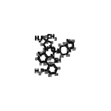 CC1(P)CCN(c2nccc(-c3ccccc3P)c2N(S)C(=O)N2CCn3ccnc3C2)C1